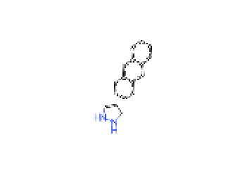 C1=CNNC1.c1ccc2cc3ccccc3cc2c1